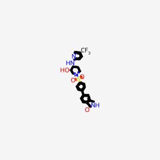 O=C1NCc2cc(-c3ccc(S(=O)(=O)N4CC[C@@H](Nc5ccc(C(F)(F)F)cn5)[C@@H](O)C4)cc3)ccc21